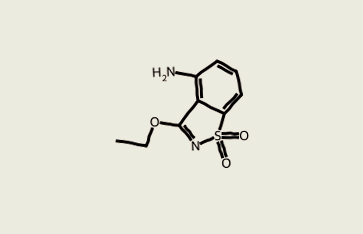 CCOC1=NS(=O)(=O)c2cccc(N)c21